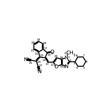 Cn1c(C2CCCCC2)nc2oc(/C=C3\C(=O)c4ccccc4C3=C(C#N)C#N)cc21